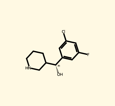 O[C@@H](c1cc(F)cc(Cl)c1)C1CCCNC1